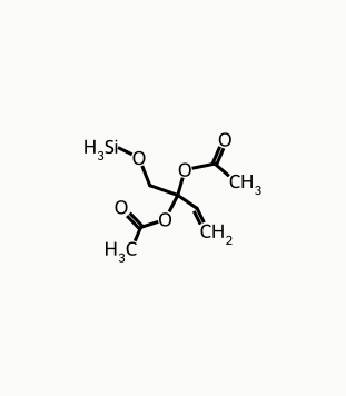 C=CC(CO[SiH3])(OC(C)=O)OC(C)=O